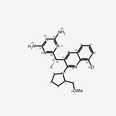 COCC1CCCN1c1nc2c(Cl)cccc2cc1[C@H](C)c1nc(N)nc(N)n1